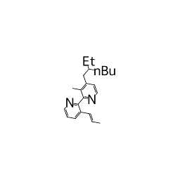 C/C=C/c1cccnc1-c1nccc(CC(CC)CCCC)c1C